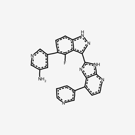 Nc1cncc(-c2ccc3[nH]nc(-c4nc5c(-c6cccnc6)ccnc5[nH]4)c3c2F)c1